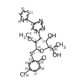 CO[C@@H](Cn1cc(-c2nccs2)nn1)C(OC(CO)[C@@H](C)O)Sc1cc(Cl)ccc1Cl